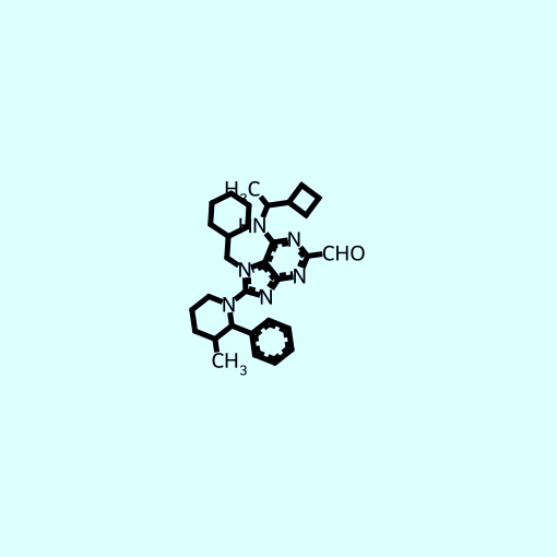 CC1CCCN(c2nc3nc(C=O)nc(NC(C)C4CCC4)c3n2CC2CCCCC2)C1c1ccccc1